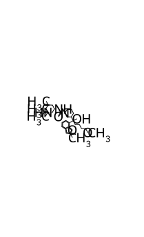 CNCC(CC(C)C)NC(=O)N1CCCC(C(O)(CCCCOC)c2cccc3cc(C)oc23)C1